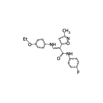 CCOc1ccc(NC=C(C(=O)Nc2ccc(F)cc2)c2cc(C)no2)cc1